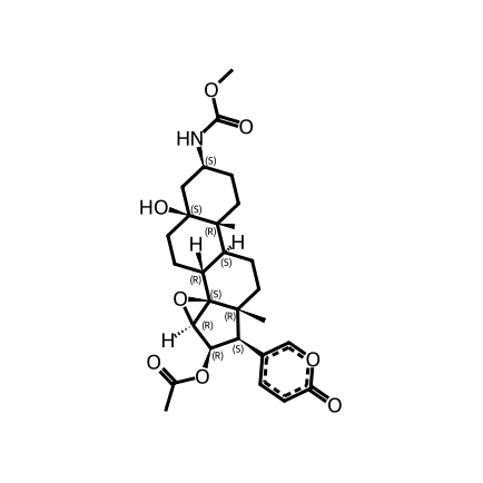 COC(=O)N[C@H]1CC[C@]2(C)[C@H]3CC[C@]4(C)[C@@H](c5ccc(=O)oc5)[C@@H](OC(C)=O)[C@H]5O[C@]54[C@@H]3CC[C@]2(O)C1